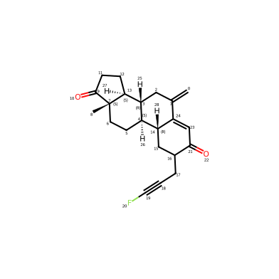 C=C1C[C@@H]2[C@H](CC[C@]3(C)C(=O)CC[C@@H]23)[C@H]2CC(CC#CF)C(=O)C=C12